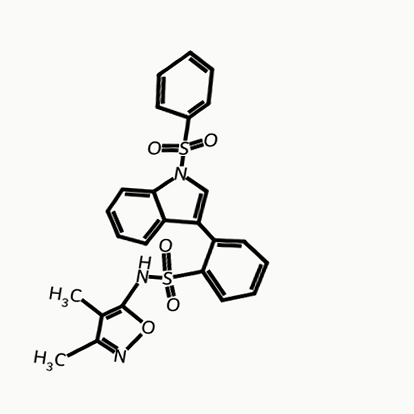 Cc1noc(NS(=O)(=O)c2ccccc2-c2cn(S(=O)(=O)c3ccccc3)c3ccccc23)c1C